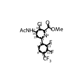 COC(=O)c1nc(-c2ccc(C(F)(F)F)c(F)c2F)cc(NC(C)=O)c1Cl